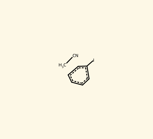 CC#N.Ic1ccccc1